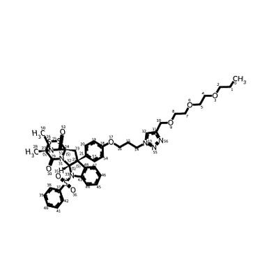 CCCOCCOCCOCc1cn(CCCOc2ccc([C@]34C[C@@]56SS[C@@](C)(C(=O)N5[C@H]3N(S(=O)(=O)c3ccccc3)c3ccccc34)N(C)C6=O)cc2)nn1